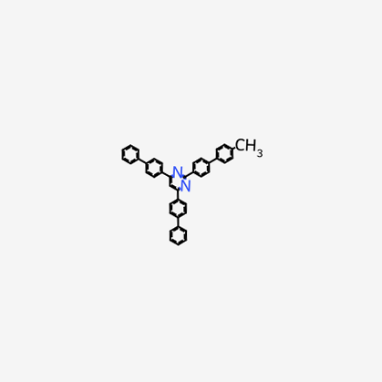 Cc1ccc(-c2ccc(-c3nc(-c4ccc(-c5ccccc5)cc4)cc(-c4ccc(-c5ccccc5)cc4)n3)cc2)cc1